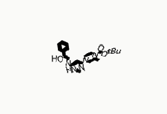 CC1CN(c2cc(NCC(O)c3ccccc3)ncn2)CCN1C(=O)OC(C)(C)C